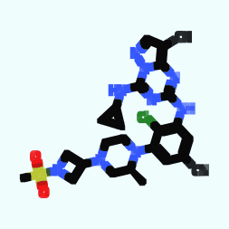 C[C@H]1CN(C2CN(S(C)(=O)=O)C2)CCN1c1cc(C#N)cc(Nc2nc(NC3CC3)n3ncc(C#N)c3n2)c1Cl